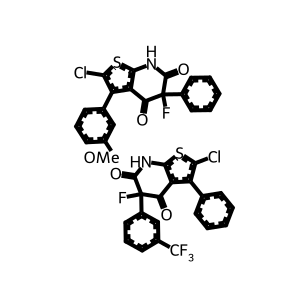 COc1cccc(-c2c(Cl)sc3c2C(=O)C(F)(c2ccccc2)C(=O)N3)c1.O=C1Nc2sc(Cl)c(-c3ccccc3)c2C(=O)C1(F)c1cccc(C(F)(F)F)c1